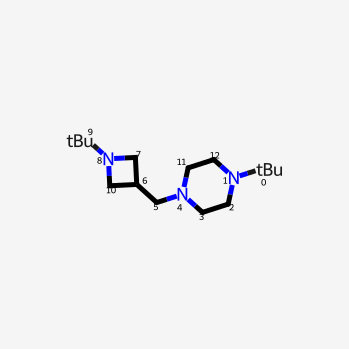 CC(C)(C)N1CCN(CC2CN(C(C)(C)C)C2)CC1